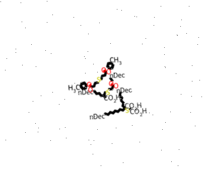 CCCCCCCCCCCCCCC(CSCCC(=O)OCCCCCCCCCCCC)C(=O)O.CCCCCCCCCCCCCCCCCCC(CCCCCCCCCCCCCCCC)(SCC(=O)O)C(=O)O.Cc1ccc(OC(=O)CCCSCCCC(=O)Oc2ccc(C)cc2)cc1